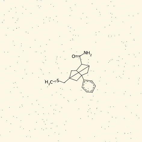 CSCC12CC3C(C(N)=O)C1CC3(c1ccccc1)C2